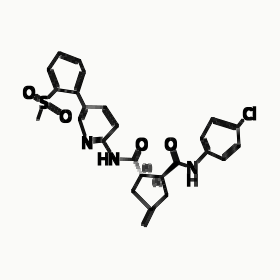 C=C1C[C@H](C(=O)Nc2ccc(Cl)cc2)[C@@H](C(=O)Nc2ccc(-c3ccccc3S(C)(=O)=O)cn2)C1